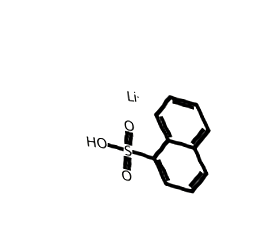 O=S(=O)(O)c1cccc2ccccc12.[Li]